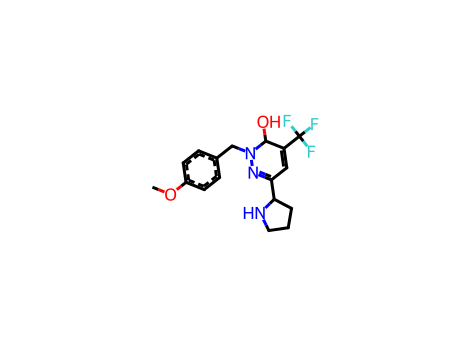 COc1ccc(CN2N=C(C3CCCN3)C=C(C(F)(F)F)C2O)cc1